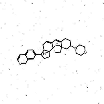 C[C@]12CC=C3C=C4CC[C@@H](N5CCOCC5)C[C@]45CC[C@]3(O5)[C@@H]1CCC2c1ccc2ccncc2c1